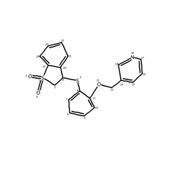 O=S1(=O)CC(Sc2ccccc2OCc2cccnc2)c2ccccc21